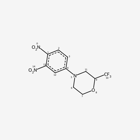 O=[N+]([O-])c1ccc(N2CCOC(C(F)(F)F)C2)cc1[N+](=O)[O-]